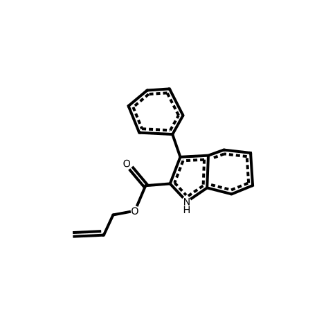 C=CCOC(=O)c1[nH]c2ccccc2c1-c1ccccc1